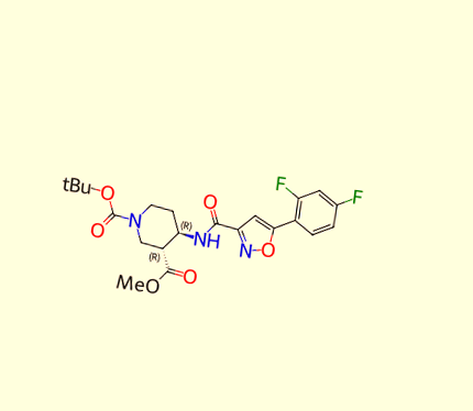 COC(=O)[C@@H]1CN(C(=O)OC(C)(C)C)CC[C@H]1NC(=O)c1cc(-c2ccc(F)cc2F)on1